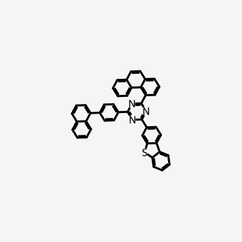 c1ccc2c(-c3ccc(-c4nc(-c5ccc6c(c5)sc5ccccc56)nc(-c5cccc6ccc7ccccc7c56)n4)cc3)cccc2c1